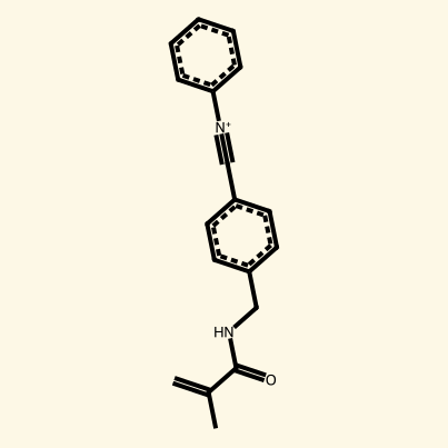 C=C(C)C(=O)NCc1ccc(C#[N+]c2ccccc2)cc1